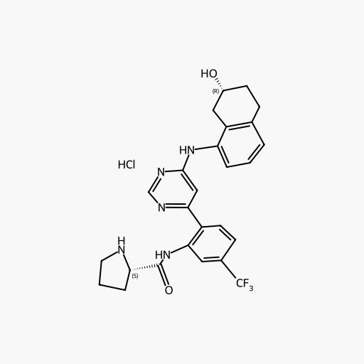 Cl.O=C(Nc1cc(C(F)(F)F)ccc1-c1cc(Nc2cccc3c2C[C@H](O)CC3)ncn1)[C@@H]1CCCN1